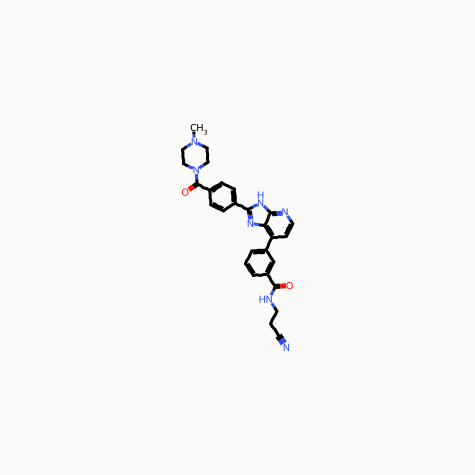 CN1CCN(C(=O)c2ccc(-c3nc4c(-c5cccc(C(=O)NCCC#N)c5)ccnc4[nH]3)cc2)CC1